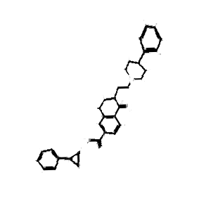 O=C(N[C@@H]1CC1c1ccccc1)c1ccc2c(c1)CCC(CCN1CCC(c3ccccc3)CC1)C2=O